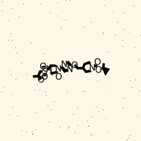 CC(=O)CS(=O)(=O)N1CCN(c2cnc(OCC3CCN(C(=O)OC4(C)CC4)CC3)cn2)C(=O)C1